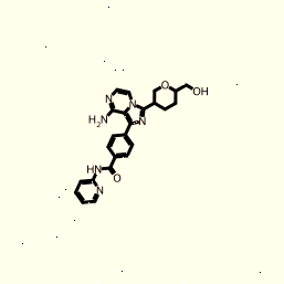 Nc1nccn2c(C3CCC(CO)OC3)nc(-c3ccc(C(=O)Nc4ccccn4)cc3)c12